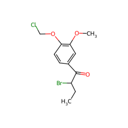 CCC(Br)C(=O)c1ccc(OCCl)c(OC)c1